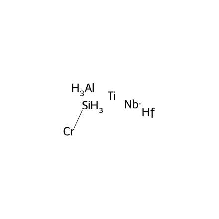 [AlH3].[Hf].[Nb].[SiH3][Cr].[Ti]